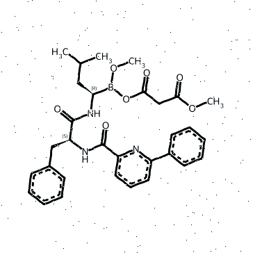 COB(OC(=O)CC(=O)OC)[C@H](CC(C)C)NC(=O)[C@H](Cc1ccccc1)NC(=O)c1cccc(-c2ccccc2)n1